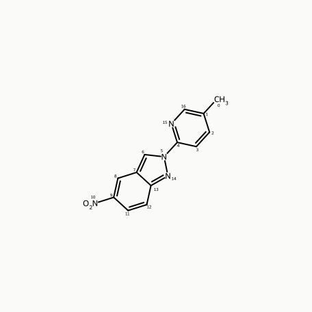 Cc1ccc(-n2cc3cc([N+](=O)[O-])ccc3n2)nc1